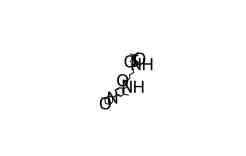 Cc1cc(N2C[C@@H](C)O[C@@H](C)C2)ccc1NC(=O)CCCCNS(=O)(=O)C(C)C